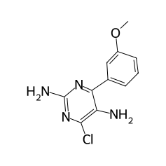 COc1cccc(-c2nc(N)nc(Cl)c2N)c1